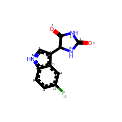 O=C1NC(=O)C(c2c[nH]c3ccc(F)cc23)N1